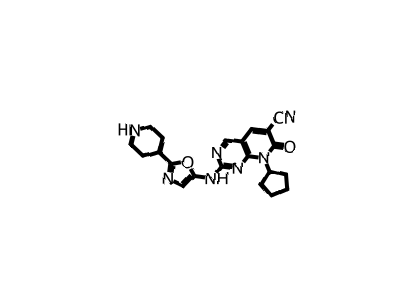 N#Cc1cc2cnc(Nc3cnc(C4CCNCC4)o3)nc2n(C2CCCC2)c1=O